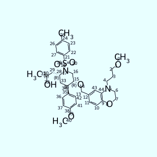 COCCCN1CCOc2ccc(CO[C@H]3CN(S(=O)(=O)c4ccc(C)cc4)[C@@H](C[C@@H](C)O)C[C@@H]3c3ccc(OC)cc3)cc21